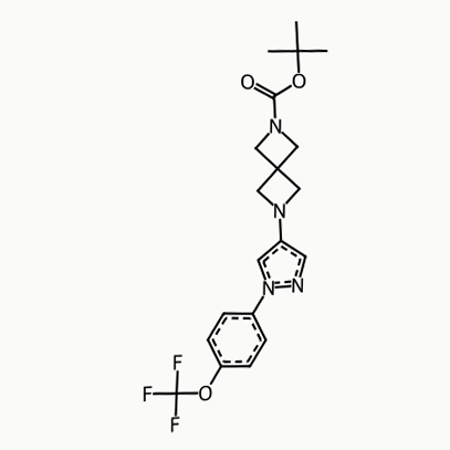 CC(C)(C)OC(=O)N1CC2(C1)CN(c1cnn(-c3ccc(OC(F)(F)F)cc3)c1)C2